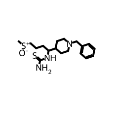 C[S+]([O-])CCCC(NC(N)=S)C1CCN(Cc2ccccc2)CC1